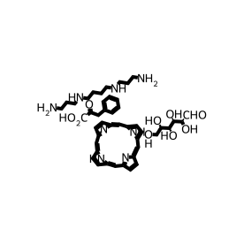 C1=Cc2cc3ccc(cc4nc(cc5ccc(cc1n2)[nH]5)C=C4)[nH]3.NCCCNCCCCNCCCN.O=C(O)C(=O)Cc1ccccc1.O=C[C@H](O)[C@@H](O)[C@@H](O)[C@H](O)CO